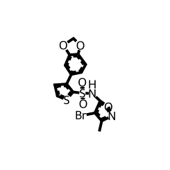 Cc1noc(NS(=O)(=O)c2sccc2-c2ccc3c(c2)OCO3)c1Br